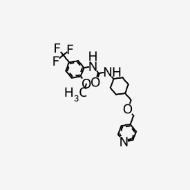 COc1ccc(C(F)(F)F)cc1NC(=O)NC1CCC(COCc2ccncc2)CC1